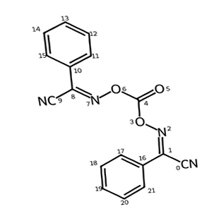 N#C/C(=N/OC(=O)O/N=C(/C#N)c1ccccc1)c1ccccc1